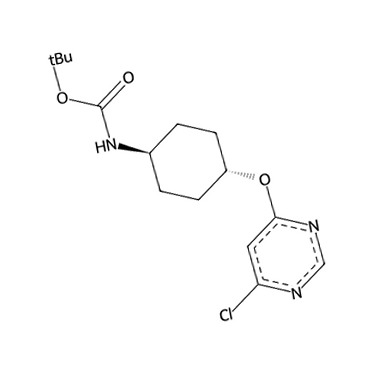 CC(C)(C)OC(=O)N[C@H]1CC[C@H](Oc2cc(Cl)ncn2)CC1